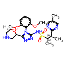 COc1cccc(OC)c1-n1c(NS(=O)(=O)[C@@H](C)[C@H](C)c2ncc(C)cn2)nnc1C1CNCCO1